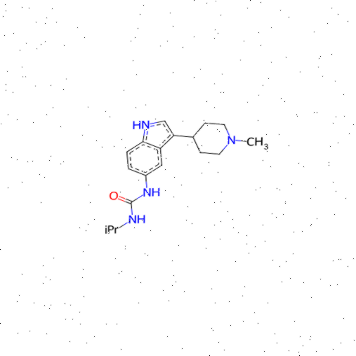 CC(C)NC(=O)Nc1ccc2[nH]cc(C3CCN(C)CC3)c2c1